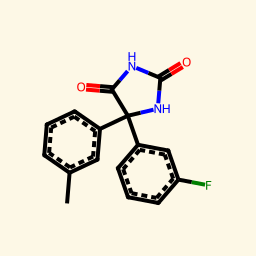 Cc1cccc(C2(c3cccc(F)c3)NC(=O)NC2=O)c1